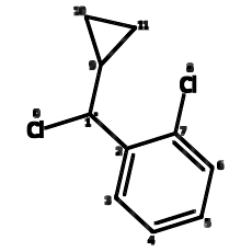 Cl[C](c1ccccc1Cl)C1CC1